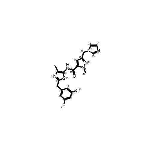 Cc1nc(Cc2cc(F)cc(Cl)c2)sc1NC(=O)c1cc(Cn2ccnc2)nn1C